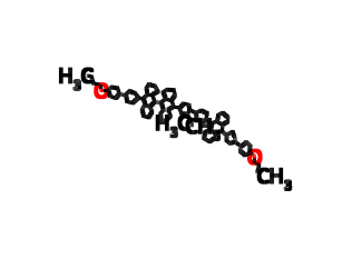 CCCCOc1ccc(-c2ccc(-c3c4ccccc4c(-c4ccc5c(c4)C(C)(C)c4cc(-c6c7ccccc7c(-c7c8ccccc8c(-c8ccc(-c9ccc(OCCCC)cc9)cc8)c8ccccc78)c7ccccc67)ccc4-5)c4ccccc34)cc2)cc1